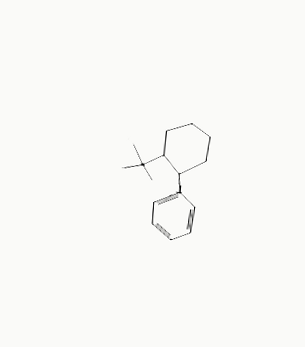 CCOC(=O)C(O)(C1CCCCC1c1ccccc1)C(F)(F)F